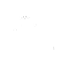 COC(=O)[C@H]1Cc2cc(I)ccc2O1